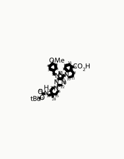 COc1ccc(Cn2nc(N3CCCc4c(C(=O)O)cccc43)c3ncc(N4CCC(C)(CNC(=O)OC(C)(C)C)CC4)nc32)cc1